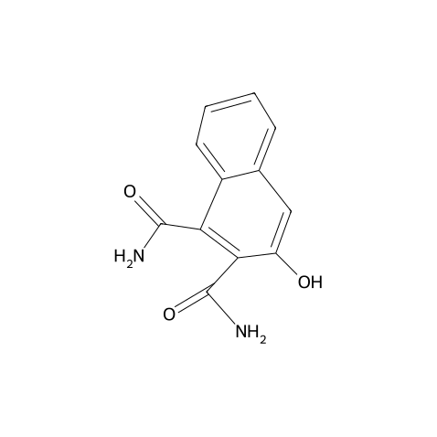 NC(=O)c1c(O)cc2ccccc2c1C(N)=O